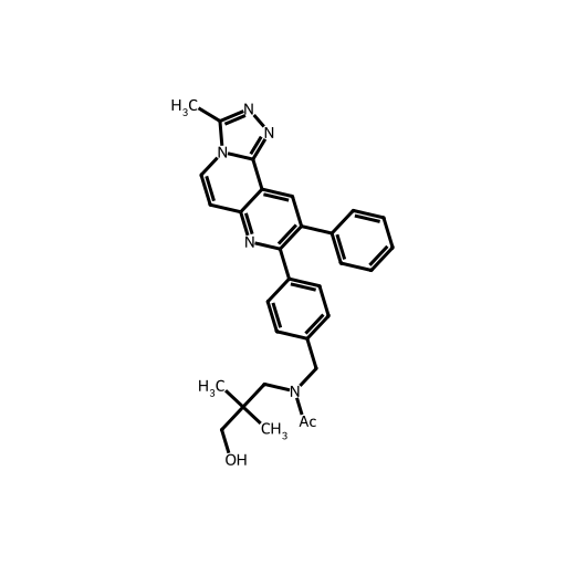 CC(=O)N(Cc1ccc(-c2nc3ccn4c(C)nnc4c3cc2-c2ccccc2)cc1)CC(C)(C)CO